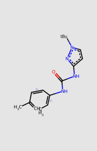 C=C(C)/C=C\C(=C/C)NC(=O)Nc1ccn(C(C)(C)C)n1